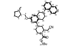 CN1CCC[C@H]1COc1nc2c(c(N3CCN(C(=O)OC(C)(C)C)C(CC#N)C3)n1)CCN(c1cccc3cnccc13)C2